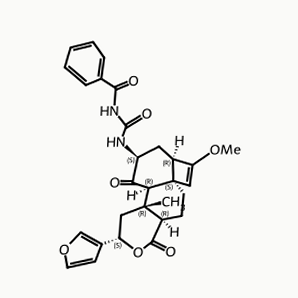 COC1=C[C@@]23CC[C@H]4C(=O)O[C@H](c5ccoc5)C[C@]4(C)[C@H]2C(=O)[C@@H](NC(=O)NC(=O)c2ccccc2)C[C@@H]13